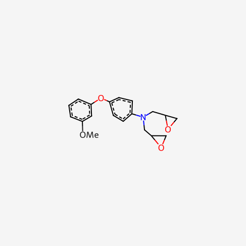 COc1cccc(Oc2ccc(N(CC3CO3)CC3CO3)cc2)c1